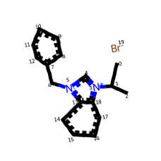 CC(C)[n+]1cn(Cc2ccccc2)c2ccccc21.[Br-]